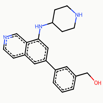 OCc1cccc(-c2cc(NC3CCNCC3)c3cnccc3c2)c1